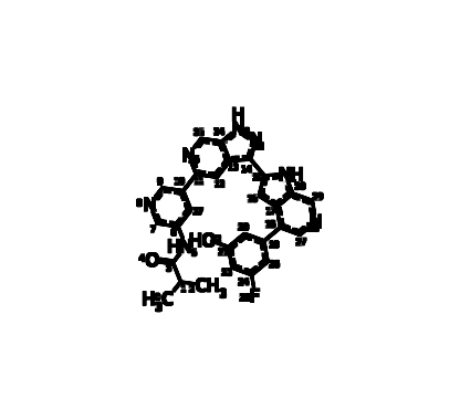 CC(C)C(=O)Nc1cncc(-c2cc3c(-c4cc5c(-c6cc(O)cc(F)c6)cncc5[nH]4)n[nH]c3cn2)c1